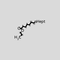 C=CCOC(=O)CCCCCCCCCCCCC